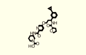 O=C(N[C@H]1CCCN(C(=O)O)C1)c1ccc(OCCC(NC(=O)[C@H]2CCCO2)c2cccc(C3CC3)c2)cn1